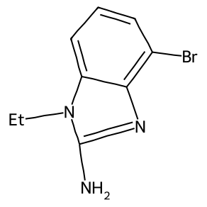 CCn1c(N)nc2c(Br)cccc21